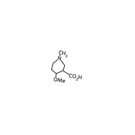 COC1CCN(C)CC1C(=O)O